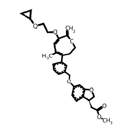 C=C1CCC/C(c2cccc(COc3ccc4c(c3)OC[C@H]4CC(=O)OC)c2)=C(C)\C=C/1OCCOC1CC1